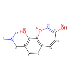 CN(C)Cc1ccc2c(c1O)ON=C(O)C=C2